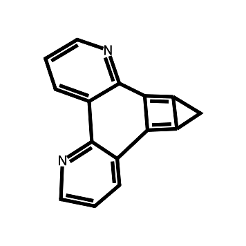 c1cnc2c(c1)c1c(c3ncccc32)=C2CC=12